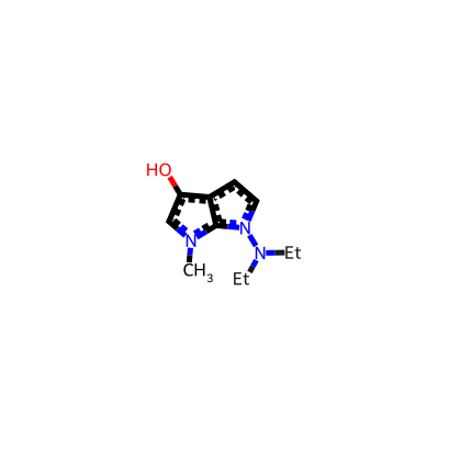 CCN(CC)n1ccc2c(O)cn(C)c21